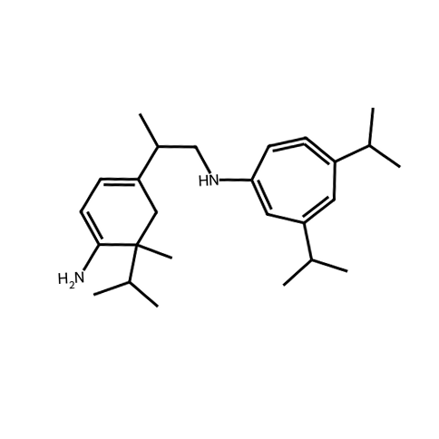 CC(C)C1=C=CC(NCC(C)C2=CC=C(N)C(C)(C(C)C)C2)=CC(C(C)C)=C1